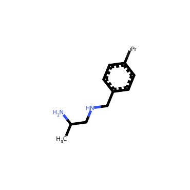 CC(N)CNCc1ccc(C(C)C)cc1